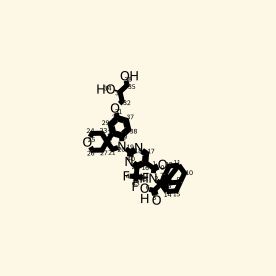 O=C(NC1(C(=O)O)C2CC3CC(C2)CC1C3)c1cnc(N2CC3(CCOCC3)c3cc(OC[C@H](O)CO)ccc32)nc1C(F)(F)F